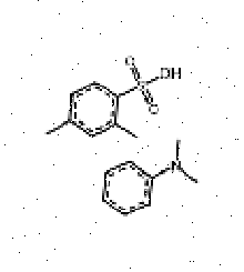 CN(C)c1ccccc1.Cc1ccc(S(=O)(=O)O)c(C)c1